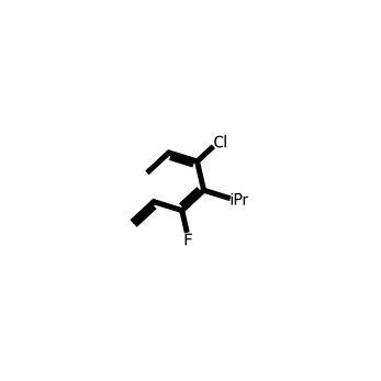 C=C/C(F)=C(\C(Cl)=C/C)C(C)C